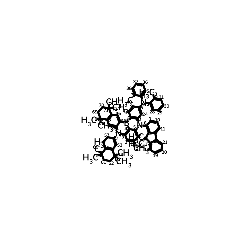 Cc1cc2c3c(c1)N(c1cccc4c1C(C)(C)c1ccccc1-4)c1cc(N(c4ccccc4C)c4ccccc4C)ccc1B3c1cc3c(cc1N2C1=CC2=C(CC1)C(C)(C)CCC2(C)C)C(C)(C)CCC3(C)C